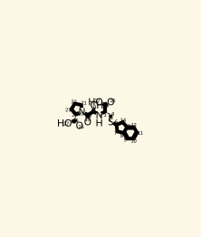 CC(N[C@@H](CSC1Cc2ccccc2C1)C(=O)O)C(=O)N1CCC[C@H]1C(=O)O